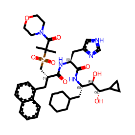 CC(C)(C(=O)N1CCOCC1)S(=O)(=O)C[C@@H](Cc1cccc2ccccc12)C(=O)N[C@@H](Cc1c[nH]cn1)C(=O)N[C@@H](CC1CCCCC1)[C@@H](O)[C@@H](O)C1CC1